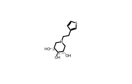 O[C@H]1[C@H](O)CN(CCc2ccsc2)C[C@@H]1O